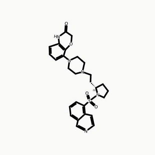 O=C1COc2c(cccc2N2CCN(CC[C@@H]3CCCN3S(=O)(=O)c3cccc4cnccc34)CC2)N1